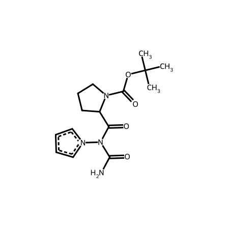 CC(C)(C)OC(=O)N1CCCC1C(=O)N(C(N)=O)n1cccc1